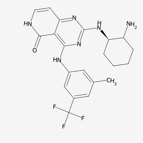 Cc1cc(Nc2nc(N[C@@H]3CCCCC3N)nc3cc[nH]c(=O)c23)cc(C(F)(F)F)c1